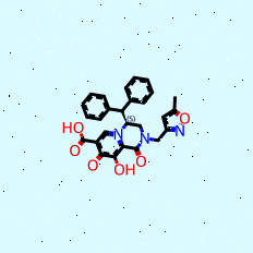 Cc1cc(CN2C[C@H](C(c3ccccc3)c3ccccc3)n3cc(C(=O)O)c(=O)c(O)c3C2=O)no1